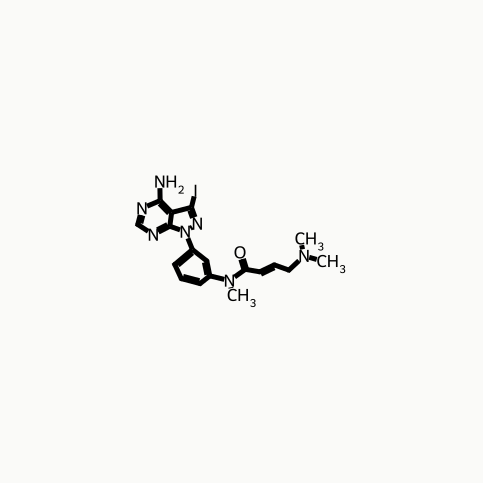 CN(C)CC=CC(=O)N(C)c1cccc(-n2nc(I)c3c(N)ncnc32)c1